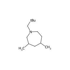 CC1CCN(CC(C)(C)C)CC(C)C1